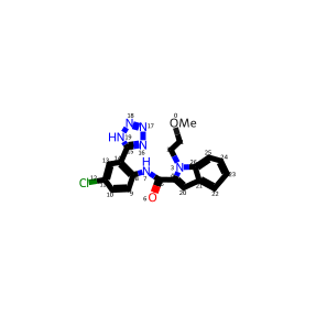 COCCn1c(C(=O)Nc2ccc(Cl)cc2-c2nnn[nH]2)cc2ccccc21